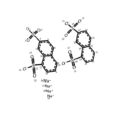 O=S(=O)([O-])c1ccc2cccc(S(=O)(=O)[O-])c2c1.O=S(=O)([O-])c1ccc2cccc(S(=O)(=O)[O-])c2c1.[Na+].[Na+].[Na+].[Na+]